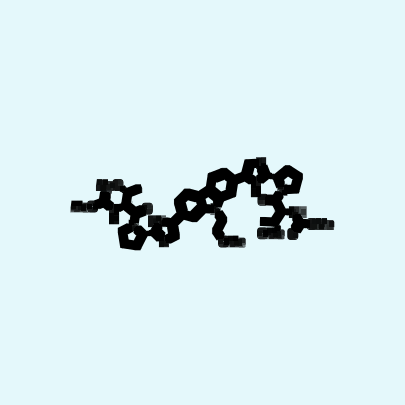 COCCn1c2cc(-c3cnc([C@@H]4CCCN4C(=O)[C@@H](NC(=O)OC)[C@@H](C)OC)[nH]3)ccc2c2ccc(-c3cnc([C@@H]4CCCN4C(=O)[C@@H](NC(=O)OC)[C@@H](C)OC)[nH]3)cc21